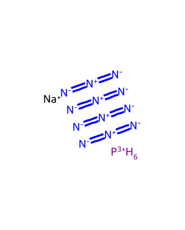 [N-]=[N+]=[N-].[N-]=[N+]=[N-].[N-]=[N+]=[N-].[N-]=[N+]=[N-].[Na+].[PH6+3]